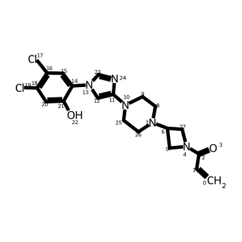 C=CC(=O)N1CC(N2CCN(c3cn(-c4cc(Cl)c(Cl)cc4O)cn3)CC2)C1